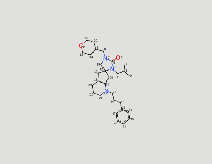 CC(C)CN1C(=O)N(CC2CCOCC2)CC12CC1CCCN(CCCc3ccccc3)C1C2